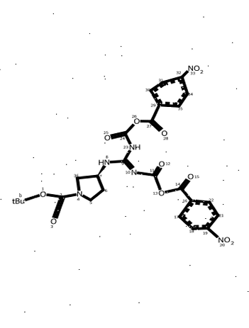 CC(C)(C)OC(=O)N1CC[C@H](NC(=NC(=O)OC(=O)c2ccc([N+](=O)[O-])cc2)NC(=O)OC(=O)c2ccc([N+](=O)[O-])cc2)C1